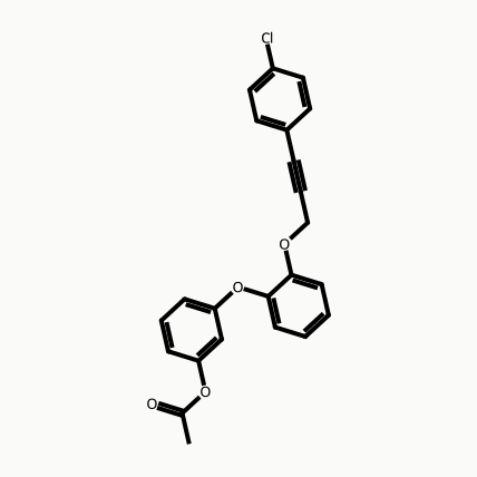 CC(=O)Oc1cccc(Oc2ccccc2OCC#Cc2ccc(Cl)cc2)c1